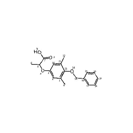 Cc1cc(OC(C)C(=O)O)cc(C)c1OCc1ccccc1